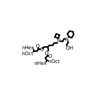 CCCCCCCCC(CCCCCC)CC(=O)OCC(CCCCN(CCN(CCO)C1CCCCC1)C1CCC1)COC(=O)CC(CCCCCC)CCCCCCCC